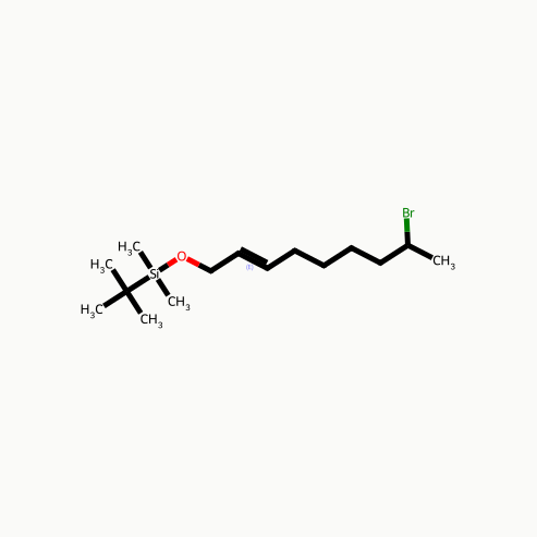 CC(Br)CCCC/C=C/CO[Si](C)(C)C(C)(C)C